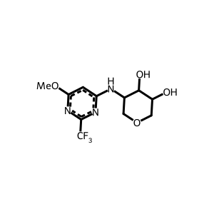 COc1cc(NC2COCC(O)C2O)nc(C(F)(F)F)n1